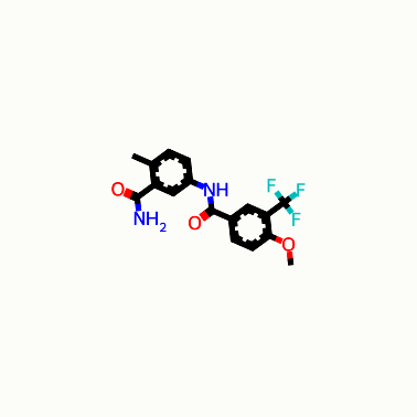 COc1ccc(C(=O)Nc2ccc(C)c(C(N)=O)c2)cc1C(F)(F)F